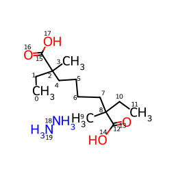 CCC(C)(CCCCC(C)(CC)C(=O)O)C(=O)O.N.N